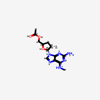 CNc1nc(N)nc2c1ncn2[C@@H]1OC(COC(C)=O)C[C@@H]1C